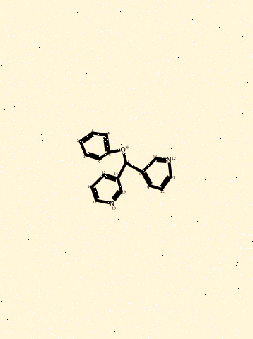 [c]1ccccc1OC(c1cccnc1)c1cccnc1